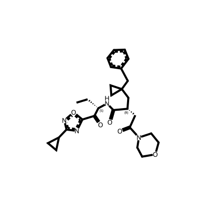 CC[C@H](NC(=O)[C@@H](CC(=O)N1CCOCC1)CC1(Cc2ccccc2)CC1)C(=O)c1nc(C2CC2)no1